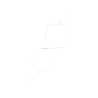 CN1CCC2(CC1)CCN(S)CC2